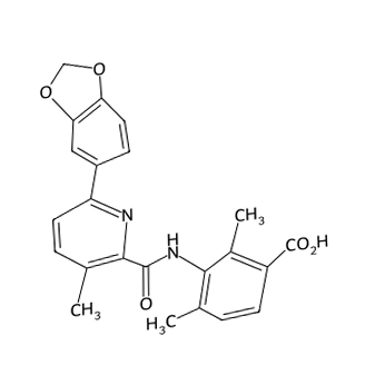 Cc1ccc(-c2ccc3c(c2)OCO3)nc1C(=O)Nc1c(C)ccc(C(=O)O)c1C